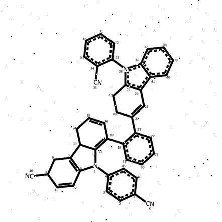 N#Cc1ccc(N2C3=C(CC(C#N)C=C3)C3CC=CC(c4ccccc4C4=Cc5c(n(-c6ccccc6C#N)c6ccccc56)CC4)=C32)cc1